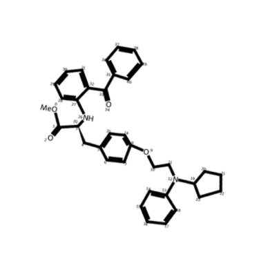 COC(=O)[C@H](Cc1ccc(OCCN(c2ccccc2)C2CCCC2)cc1)Nc1ccccc1C(=O)c1ccccc1